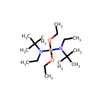 CCO[Si](OCC)(N(CC)C(C)(C)C)N(CC)C(C)(C)C